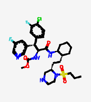 CCCS(=O)(=O)N1CCNC[C@@H]1CC[C@H]1CCCC[C@@H]1NC(=O)[C@@H](NC(=O)OC)[C@H](c1cncc(F)c1)c1ccc(Cl)c(F)c1